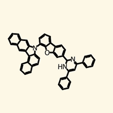 C1=C(c2ccccc2)NC(c2ccc3c(c2)oc2c(-n4c5cc6ccccc6cc5c5c6ccccc6ccc54)cccc23)N=C1c1ccccc1